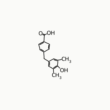 Cc1cc(Cc2ccc(C(=O)O)cc2)cc(C)c1O